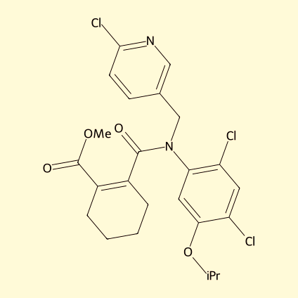 COC(=O)C1=C(C(=O)N(Cc2ccc(Cl)nc2)c2cc(OC(C)C)c(Cl)cc2Cl)CCCC1